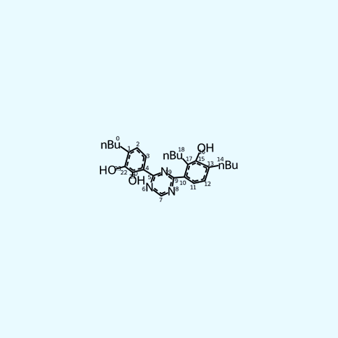 CCCCc1ccc(-c2ncnc(-c3ccc(CCCC)c(O)c3CCCC)n2)c(O)c1O